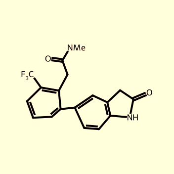 CNC(=O)Cc1c(-c2ccc3c(c2)CC(=O)N3)cccc1C(F)(F)F